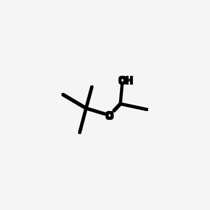 CC(O)OC(C)(C)C